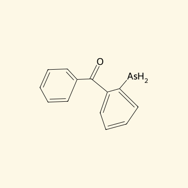 O=C(c1ccccc1)c1ccccc1[AsH2]